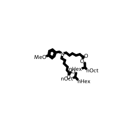 CCCCCCCCC(CCCCCC)COC(=O)CCCCCN(CCCCCC(=O)OCC(CCCCCC)CCCCCCCC)Cc1ccc(OC)cc1